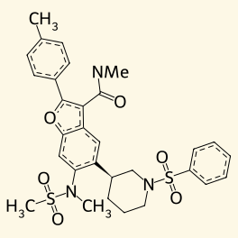 CNC(=O)c1c(-c2ccc(C)cc2)oc2cc(N(C)S(C)(=O)=O)c([C@@H]3CCCN(S(=O)(=O)c4ccccc4)C3)cc12